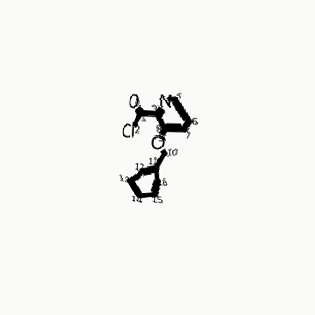 O=C(Cl)c1ncccc1OCc1ccccc1